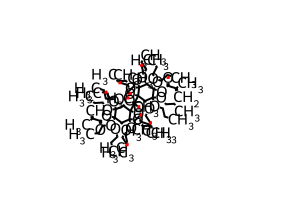 C=C(C)C(=O)OC1(OCCC)C(OCCC)(OCCC)C(OCCC)(OCCC)C(OCCC)(C(C)(C)C2(OCCC)C(OCCC)(OCCC)C(OCCC)(OCCC)C(OCCC)(OC(=O)C(=C)C)C(OCCC)(OCCC)C2(OCCC)OCCC)C(OCCC)(OCCC)C1(OCCC)OCCC